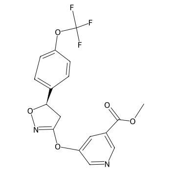 COC(=O)c1cncc(OC2=NO[C@@H](c3ccc(OC(F)(F)F)cc3)C2)c1